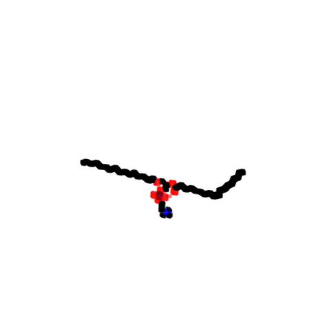 CCCCCCCC/C=C\CCCCCCCC(=O)O[C@H](COC=CCCCCCCCCCCCCCC)COP(=O)([O-])OCC[N+](C)(C)C